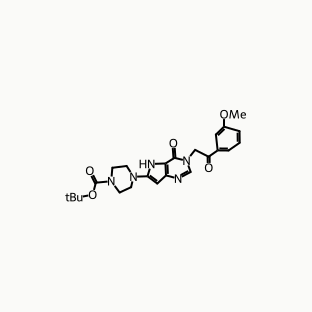 COc1cccc(C(=O)Cn2cnc3cc(N4CCN(C(=O)OC(C)(C)C)CC4)[nH]c3c2=O)c1